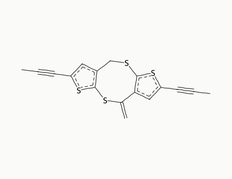 C=C1Sc2sc(C#CC)cc2CSc2sc(C#CC)cc21